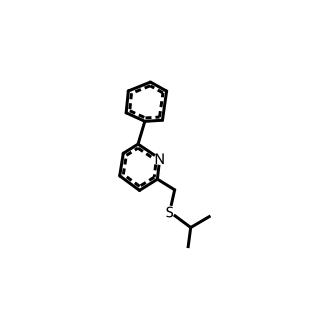 CC(C)SCc1cccc(-c2ccccc2)n1